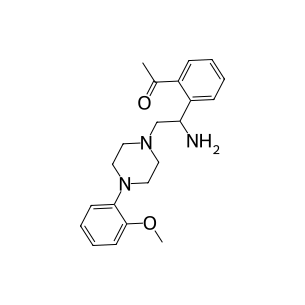 COc1ccccc1N1CCN(CC(N)c2ccccc2C(C)=O)CC1